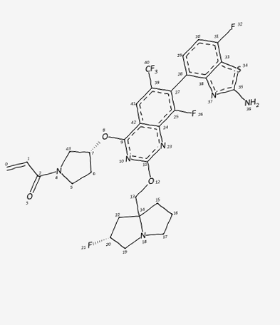 C=CC(=O)N1CC[C@@H](Oc2nc(OCC34CCCN3C[C@H](F)C4)nc3c(F)c(-c4ccc(F)c5sc(N)nc45)c(C(F)(F)F)cc23)C1